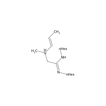 CC=C[SiH](C)CC(=NCCCCCC)NCCCCCC